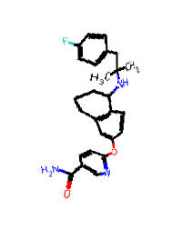 CC(C)(Cc1ccc(F)cc1)NC1CCCc2cc(Oc3ccc(C(N)=O)cn3)ccc21